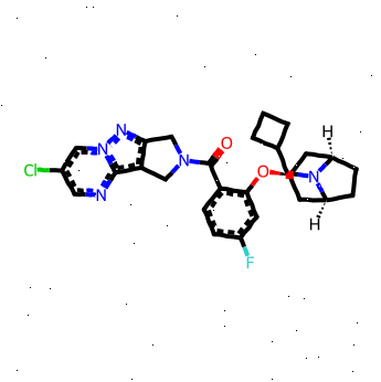 O=C(c1ccc(F)cc1O[C@H]1C[C@H]2CC[C@@H](C1)N2CC1CCC1)N1Cc2nn3cc(Cl)cnc3c2C1